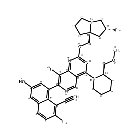 C#Cc1c(F)ccc2cc(O)cc(-c3ncc4c(N5CCCC[C@@H]5COC)nc(OC[C@@]56CCCN5C[C@H](F)C6)nc4c3F)c12